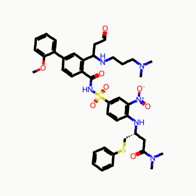 COc1ccccc1-c1ccc(C(=O)NS(=O)(=O)c2ccc(N[C@@H](CSc3ccccc3)CC(=O)N(C)C)c([N+](=O)[O-])c2)c(C(CC=O)NCCCN(C)C)c1